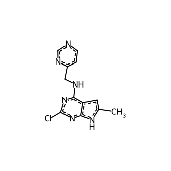 Cc1cc2c(NCc3ccncn3)nc(Cl)nc2[nH]1